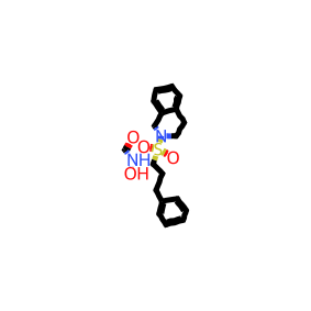 O=CNO.O=S(=O)(CCCc1ccccc1)N1CCc2ccccc2C1